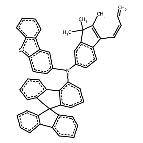 C=C/C=C\C1=C(C)C(C)(C)c2cc(N(c3ccc4sc5ccccc5c4c3)c3cccc4c3-c3ccccc3C43c4ccccc4-c4ccccc43)ccc21